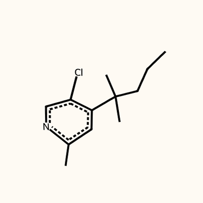 CCCC(C)(C)c1cc(C)ncc1Cl